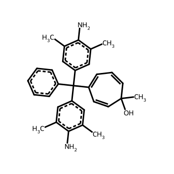 Cc1cc(C(C2=CC=CC(C)(O)C=C2)(c2ccccc2)c2cc(C)c(N)c(C)c2)cc(C)c1N